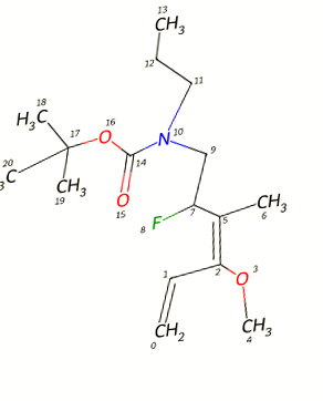 C=C/C(OC)=C(/C)C(F)CN(CCC)C(=O)OC(C)(C)C